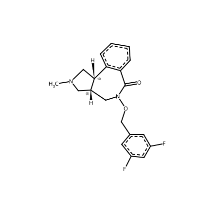 CN1C[C@H]2CN(OCc3cc(F)cc(F)c3)C(=O)c3ccccc3[C@H]2C1